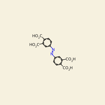 O=C(O)c1ccc(N=Nc2ccc(C(=O)O)c(C(=O)O)c2)cc1C(=O)O